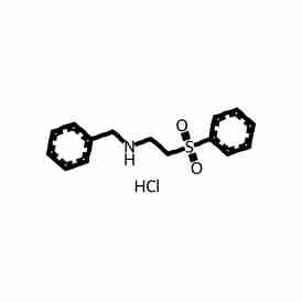 Cl.O=S(=O)(CCNCc1ccccc1)c1ccccc1